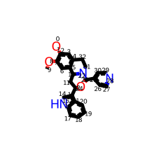 COc1cc2c(cc1OC)C(CCc1c[nH]c3ccccc13)N(C(=O)c1ccncc1)CC2